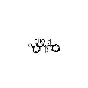 Cn1c(C(=O)NNc2ccccc2)cccc1=O